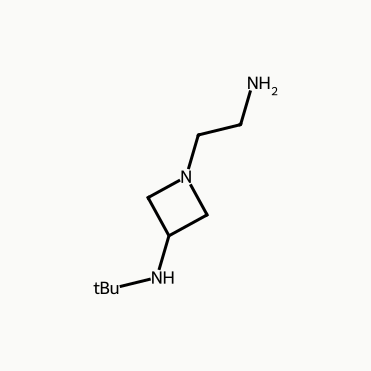 CC(C)(C)NC1CN(CCN)C1